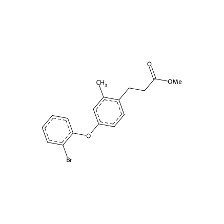 COC(=O)CCc1ccc(Oc2ccccc2Br)cc1C